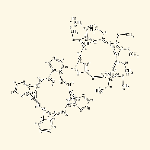 CCC1=C(CC)c2nc1c(CC)c1[nH]c(cc3nc(cc4[nH]c(c2CC)c(CC)c4CC)C=C3)c(CC)c1CC.[AlH3].[Pt].c1ccc2c(c1)-c1nc-2nc2[nH]c(nc3nc(nc4[nH]c(n1)c1ccccc41)-c1ccccc1-3)c1ccccc21